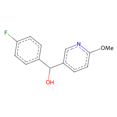 COc1ccc(C(O)c2ccc(F)cc2)cn1